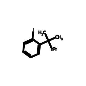 CCCC(C)(C)c1ccccc1I